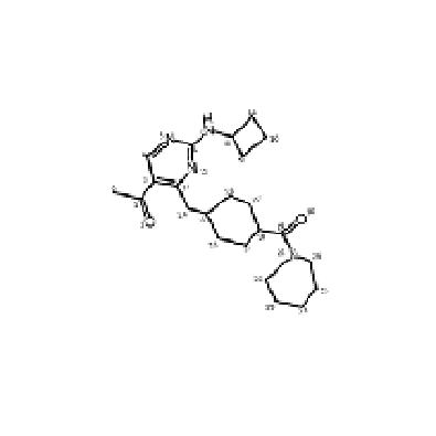 CC(=O)c1cnc(NC2CCC2)nc1CC1CCC(C(=O)N2CCCCC2)CC1